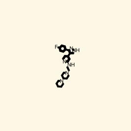 Fc1ccc(-c2n[nH]cc2-c2ccnc(NCCN3CCC(N4CCCCC4)CC3)c2)cc1